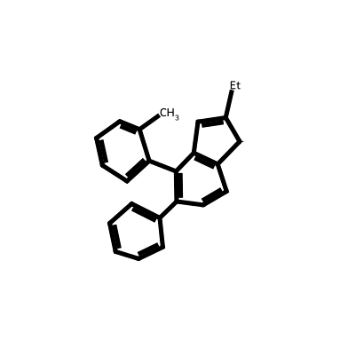 CCC1=Cc2c(ccc(-c3ccccc3)c2-c2ccccc2C)[CH]1